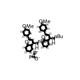 CCCCNc1cc(-c2ccc(OC)cc2)[o+]c2ccccc12.CCCCNc1cc(-c2ccc(OC)cc2)[o+]c2ccccc12.[O-]B([O-])F